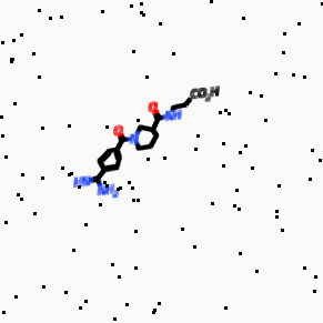 N=C(N)c1ccc(C(=O)N2CCCC(C(=O)NCCC(=O)O)C2)cc1